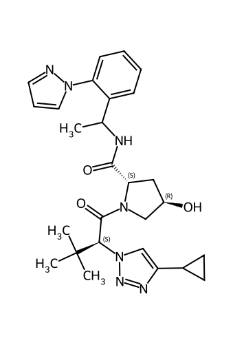 CC(NC(=O)[C@@H]1C[C@@H](O)CN1C(=O)[C@@H](n1cc(C2CC2)nn1)C(C)(C)C)c1ccccc1-n1cccn1